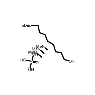 CCCCCCCCCCCCCCCCCCO.CNC.CNC.CNC.O=P(O)(O)O